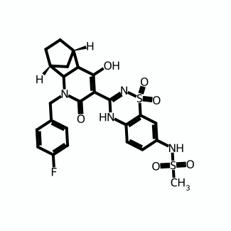 CS(=O)(=O)Nc1ccc2c(c1)S(=O)(=O)N=C(C1=C(O)C3C([C@@H]4CC[C@H]3C4)N(Cc3ccc(F)cc3)C1=O)N2